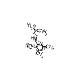 Cc1cc(C)c(C#N)c(NCCN(C)C)n1